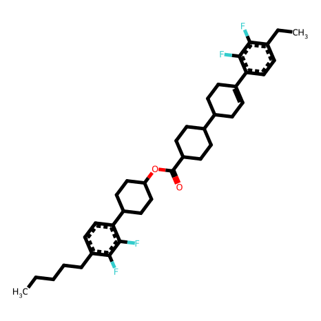 CCCCCc1ccc(C2CCC(OC(=O)C3CCC(C4CC=C(c5ccc(CC)c(F)c5F)CC4)CC3)CC2)c(F)c1F